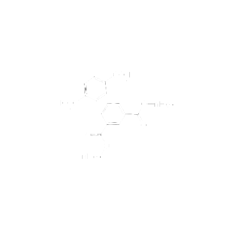 CCCCCCOC(=O)c1cccc(C(=O)OCCCCCC)c1.O=C(O)c1ccc(C(=O)O)cc1